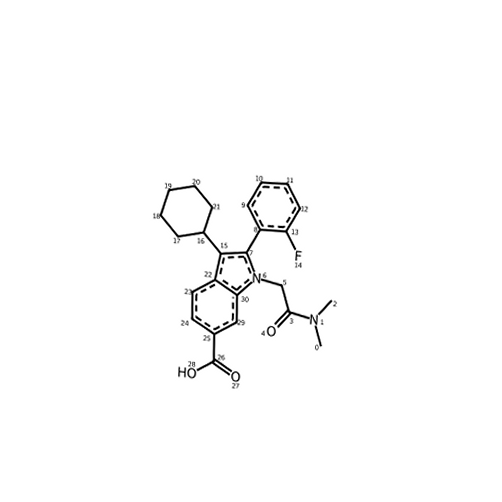 CN(C)C(=O)Cn1c(-c2ccccc2F)c(C2CCCCC2)c2ccc(C(=O)O)cc21